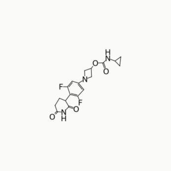 O=C1CCC(c2c(F)cc(N3CC(OC(=O)NC4CC4)C3)cc2F)C(=O)N1